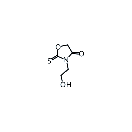 O=C1COC(=S)N1CCO